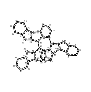 c1ccc2c(c1)nc1n(-c3cccc4c3n(-c3nccc5c3oc3ccccc35)c3nc5ccccc5n43)c3ccccc3n21